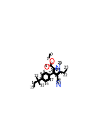 CCOC(=O)c1c(-c2ccc(C(C)(C)CC)cc2)c(C#N)c(CC)n1C